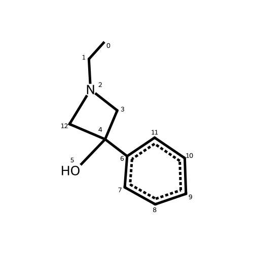 CCN1CC(O)(c2ccccc2)C1